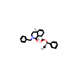 C#C[C@@H](OC(=O)[C@H]1CC=C[C@@H]2CCN(Cc3ccccc3)C(=O)[C@@H]21)c1ccccc1